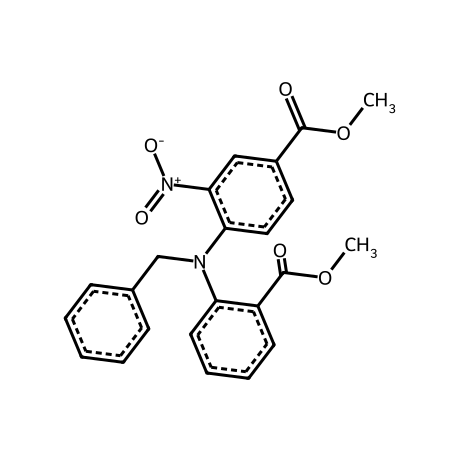 COC(=O)c1ccc(N(Cc2ccccc2)c2ccccc2C(=O)OC)c([N+](=O)[O-])c1